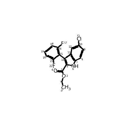 CCOC(=O)c1[nH]c2ccc(Cl)cc2c1-c1c(F)cccc1F